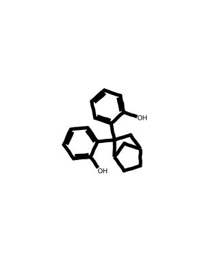 Oc1ccccc1C1(c2ccccc2O)CC2CCC1C2